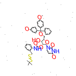 COc1ccc(C(OC[C@H]2O[C@@H](n3ccc(=O)[nH]c3=O)[C@H](OC(=O)Nc3ccccc3CSSC(C)(C)C)[C@@H]2O)(c2ccccc2)c2ccc(OC)cc2)cc1